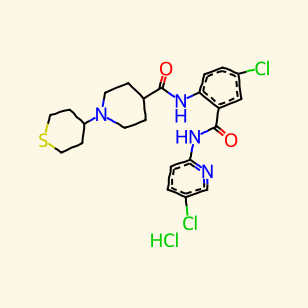 Cl.O=C(Nc1ccc(Cl)cn1)c1cc(Cl)ccc1NC(=O)C1CCN(C2CCSCC2)CC1